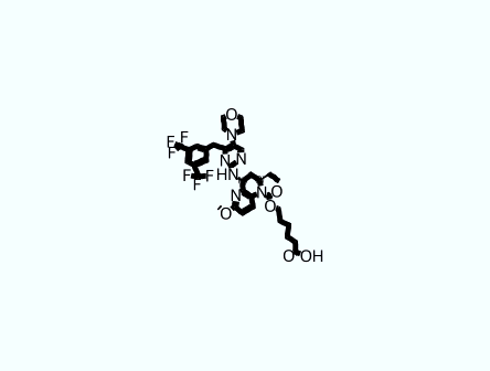 CC[C@@H]1C[C@H](Nc2ncc(N3CCOCC3)c(Cc3cc(C(F)(F)F)cc(C(F)(F)F)c3)n2)c2nc(OC)ccc2N1C(=O)OCCCCCC(=O)O